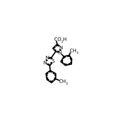 Cc1cccc(-c2nnc(-c3cc(C(=O)O)nn3-c3ccccc3C)s2)c1